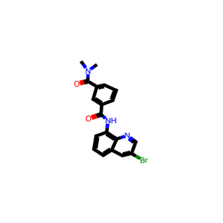 CN(C)C(=O)c1cccc(C(=O)Nc2cccc3cc(Br)cnc23)c1